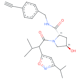 C#Cc1ccc(CNC(=O)[C@@H]2C[C@@H](O)CN2C(=O)C(c2cc(C(C)C)no2)C(C)C)cc1